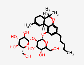 CCCCCc1cc(O[C@@H]2OC(CO)[C@@H](O)[C@H](O)[C@H]2O[C@@H]2O[C@H](CO)[C@@H](O)[C@H](O)[C@H]2O)c2c(c1)OC(C)(C)[C@@H]1CCC(C)=C[C@@H]21